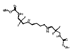 CC(C)(C)OC(=O)NCC(F)(F)CNCCCCNCC(F)(F)CNC(=O)OC(C)(C)C